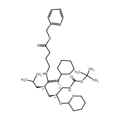 CC(C)C[C@H](C[C@H](OC1CCCCO1)[C@H](CC1CCCCC1)NC(=O)OC(C)(C)C)C(=O)NCCCC(=O)OCc1ccccc1